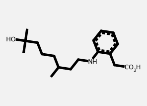 CC(CCCC(C)(C)O)CCNc1ccccc1CC(=O)O